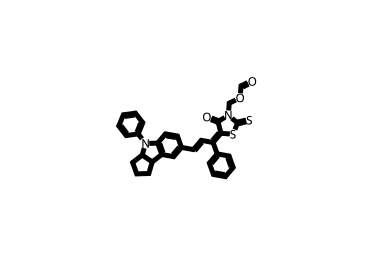 O=COCN1C(=O)/C(=C(\C=C\c2ccc3c(c2)C2CCCC2N3c2ccccc2)c2ccccc2)SC1=S